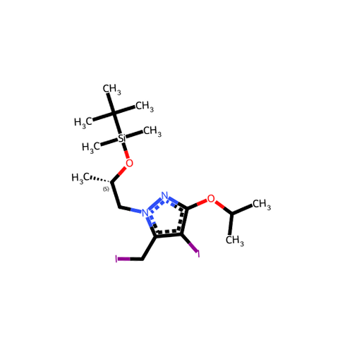 CC(C)Oc1nn(C[C@H](C)O[Si](C)(C)C(C)(C)C)c(CI)c1I